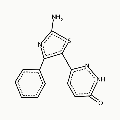 Nc1nc(-c2ccccc2)c(-c2ccc(=O)[nH]n2)s1